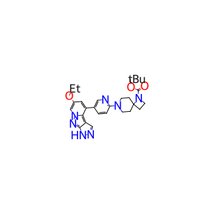 CCOc1cc(-c2ccc(N3CCC4(CC3)CCN4C(=O)OC(C)(C)C)nc2)c2c3cn[nH]c3nn2c1